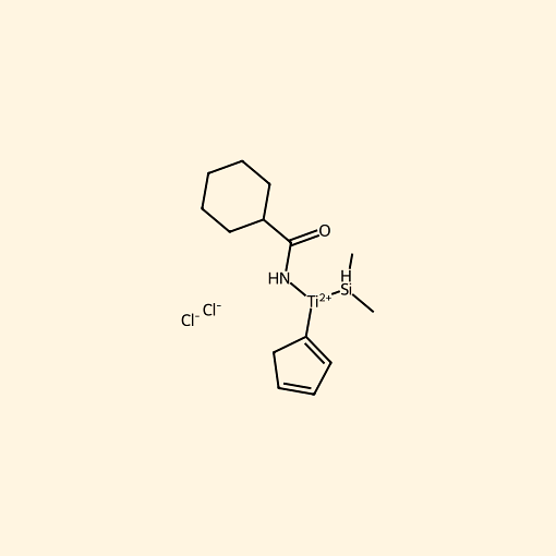 C[SiH](C)[Ti+2]([NH]C(=O)C1CCCCC1)[C]1=CC=CC1.[Cl-].[Cl-]